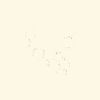 CC(=O)N1CCC(c2nc(Nc3ccc(C(=O)N4CCOCC4)cc3)c3c(=O)[nH]ccn23)CC1